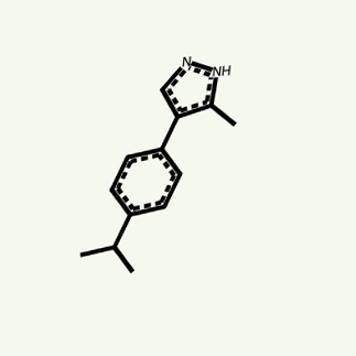 Cc1[nH]ncc1-c1ccc(C(C)C)cc1